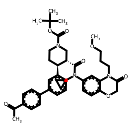 COCCCN1C(=O)COc2ccc(N(C(=O)[C@H]3CN(C(=O)OC(C)(C)C)CC[C@@H]3c3cccc(-c4ccc(C(C)=O)cc4)c3)C3CC3)cc21